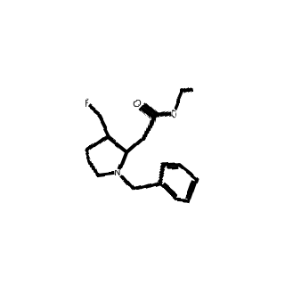 CCOC(=O)CC1C(CF)CCN1Cc1ccccc1